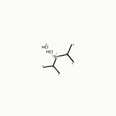 C[CH](C)[Sn][CH](C)C.Cl.Cl